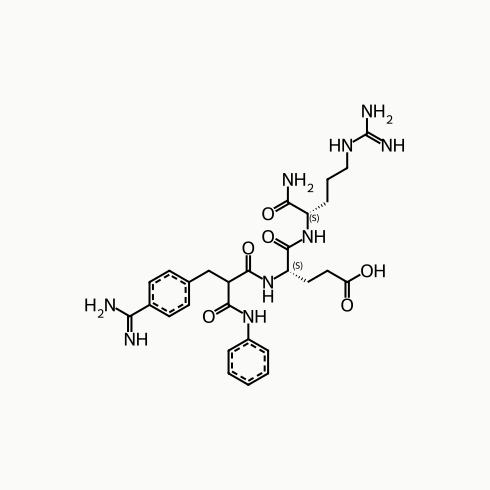 N=C(N)NCCC[C@H](NC(=O)[C@H](CCC(=O)O)NC(=O)C(Cc1ccc(C(=N)N)cc1)C(=O)Nc1ccccc1)C(N)=O